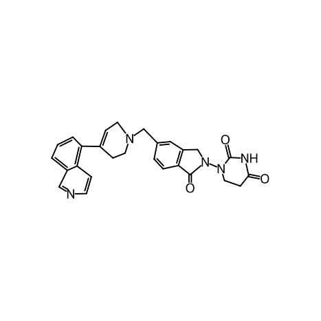 O=C1CCN(N2Cc3cc(CN4CC=C(c5cccc6cnccc56)CC4)ccc3C2=O)C(=O)N1